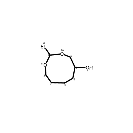 CCC1OCCCCC(O)CO1